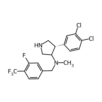 CN(Cc1ccc(C(F)(F)F)c(F)c1)C1CNC[C@@H]1c1ccc(Cl)c(Cl)c1